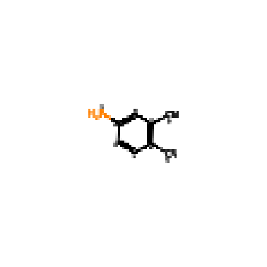 N#Cc1ccc(P)cc1C#N